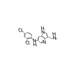 CNCc1c[nH]c2cc(Nc3ccc(Cl)cc3Cl)cnc12